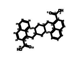 O=C(O)c1ccc2ccccc2c1CC1CCC(Cc2c(C(=O)O)ccc3ccccc23)CC1